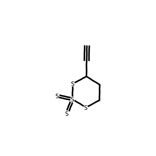 C#CC1CCSS(=S)(=S)S1